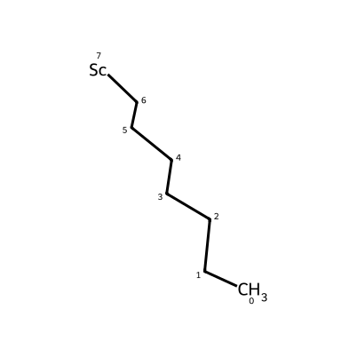 CCCCCC[CH2][Sc]